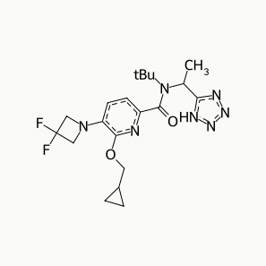 CC(c1nnn[nH]1)N(C(=O)c1ccc(N2CC(F)(F)C2)c(OCC2CC2)n1)C(C)(C)C